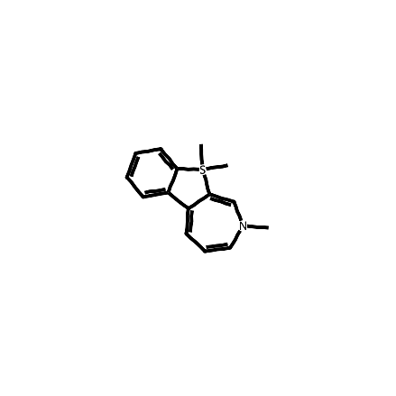 CN1C=CC=C2C(=C1)S(C)(C)c1ccccc12